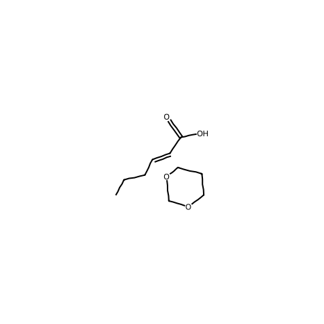 C1COCOC1.CCCC=CC(=O)O